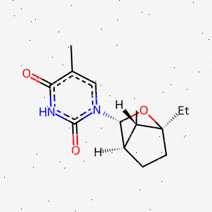 CC[C@@]12CC[C@@H]([C@H](n3cc(C)c(=O)[nH]c3=O)O1)[C@@H]2C